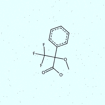 COC(C([O])=O)(c1ccccc1)C(F)(F)F